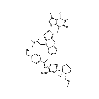 CC(C)Cc1ccc(C(C)C(=O)O)cc1.CC(CN1c2ccccc2Sc2ccccc21)N(C)C.COc1cccc([C@@]2(O)CCCC[C@@H]2CN(C)C)c1.Cn1c(=O)c2c(ncn2C)n(C)c1=O